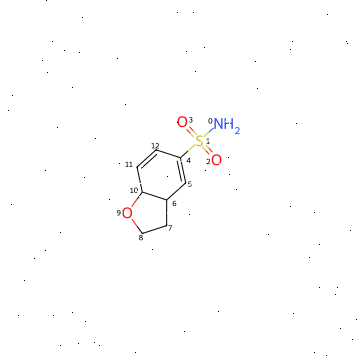 NS(=O)(=O)C1=CC2CCOC2C=C1